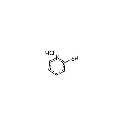 Cl.Sc1ccccn1